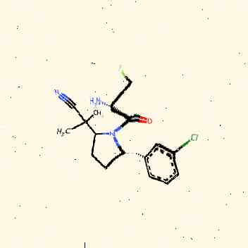 CC(C)(C#N)C1CC[C@@H](c2cccc(Cl)c2)N1C(=O)[C@H](N)CF